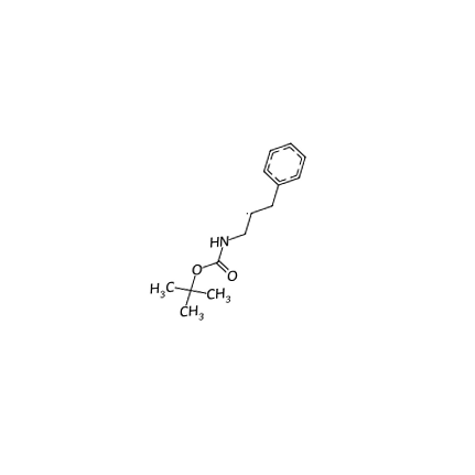 CC(C)(C)OC(=O)NC[CH]Cc1ccccc1